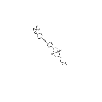 CCCC1CC[C@@H]2C[C@H](c3ccc(C#Cc4ccc(OC(F)(F)F)cc4)cc3)CC[C@@H]2C1